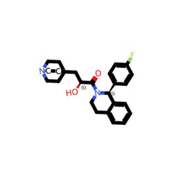 O=C([C@@H](O)CC12CCN(CC1)CC2)N1CCc2ccccc2[C@@H]1c1ccc(F)cc1